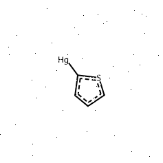 [Hg][c]1cccs1